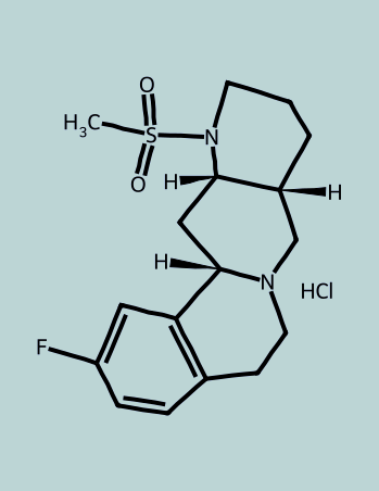 CS(=O)(=O)N1CCC[C@@H]2CN3CCc4ccc(F)cc4[C@@H]3C[C@@H]21.Cl